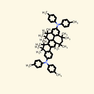 Cc1ccc(N(c2ccc(C)cc2)c2ccc3c(c2)C(C)(C)C(C)(C)c2c-3cc3c4c2C(C)(C)C(C)(C)c2cc(N(c5ccc(C)cc5)c5ccc(C)cc5)cc(c2-4)C(C)(C)CC3(C)C)cc1